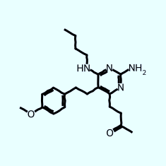 CCCCNc1nc(N)nc(CCC(C)=O)c1CCc1ccc(OC)cc1